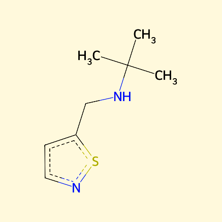 CC(C)(C)NCc1ccns1